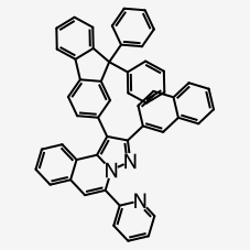 c1ccc(C2(c3ccccc3)c3ccccc3-c3ccc(-c4c(-c5ccc6ccccc6c5)nn5c(-c6ccccn6)cc6ccccc6c45)cc32)cc1